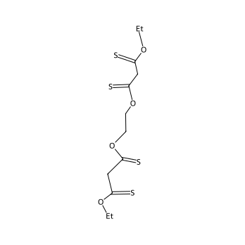 CCOC(=S)CC(=S)OCCOC(=S)CC(=S)OCC